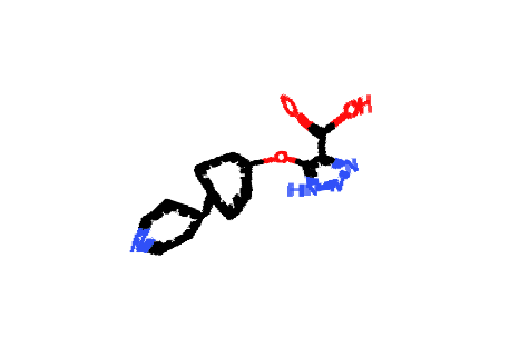 O=C(O)c1nn[nH]c1Oc1ccc(-c2ccncc2)cc1